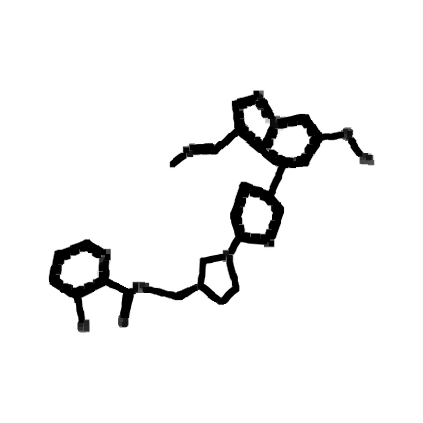 CCOc1cc(-c2ccc(N3CC[C@@H](CNC(=O)c4ncccc4Cl)C3)nc2)c2c(/C=N/C)cnn2c1